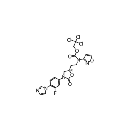 O=C1O[C@H](CCN(C(=O)OCC(Cl)(Cl)Cl)c2ccon2)CN1c1ccc(-n2ccnc2)c(F)c1